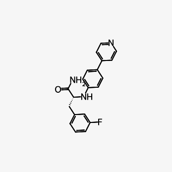 NC(=O)[C@@H](Cc1cccc(F)c1)Nc1ccc(-c2ccncc2)cc1